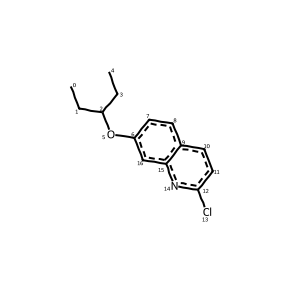 CCC(CC)Oc1ccc2ccc(Cl)nc2c1